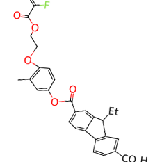 C=C(F)C(=O)OCCOc1ccc(OC(=O)c2ccc3c(c2)C(CC)c2cc(C(=O)O)ccc2-3)cc1C